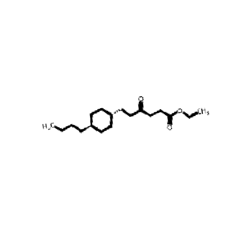 CCCC[C@H]1CC[C@H](CCC(=O)CCC(=O)OCC)CC1